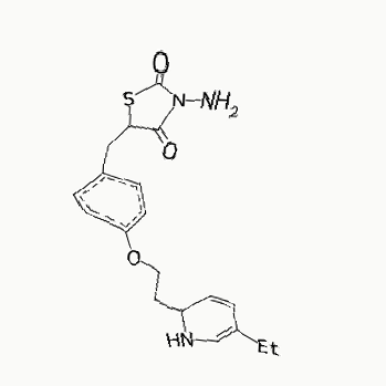 CCC1=CNC(CCOc2ccc(CC3SC(=O)N(N)C3=O)cc2)C=C1